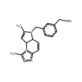 CNCc1cccc(CN2C(C)=CC3C2C=Cc2nnc(C)n23)c1